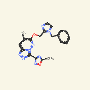 Cc1nc(-c2nnc3cc(C(C)(C)C)c(OCc4nccn4Cc4ccccc4)nn23)no1